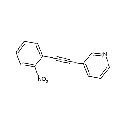 O=[N+]([O-])c1ccccc1C#Cc1cccnc1